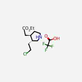 CCOC(=O)C[C@H]1CCNC[C@@H]1CCCl.O=C(O)C(F)(F)F